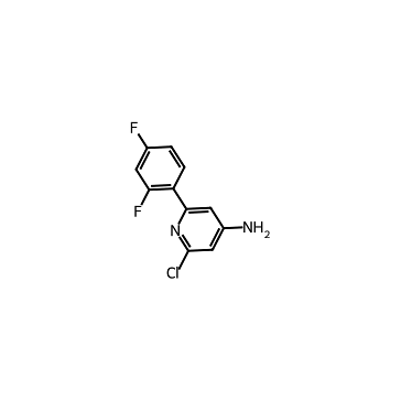 Nc1cc(Cl)nc(-c2ccc(F)cc2F)c1